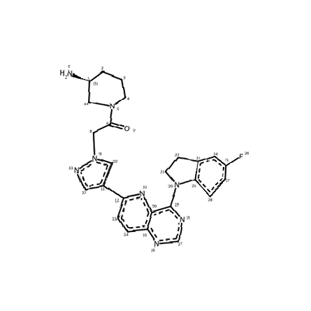 N[C@H]1CCCN(C(=O)Cn2cc(-c3ccc4ncnc(N5CCc6cc(F)ccc65)c4n3)cn2)C1